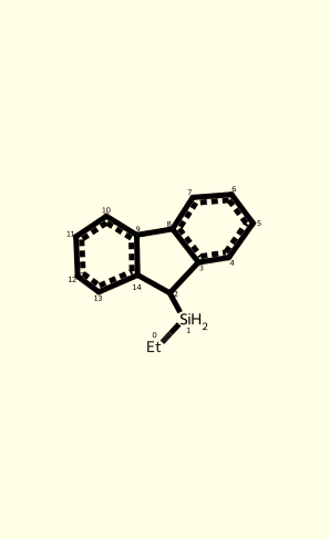 CC[SiH2]C1c2ccccc2-c2ccccc21